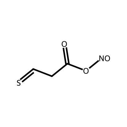 O=NOC(=O)CC=S